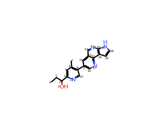 CCC(O)c1cc(C)c(-c2cnc3c(cnc4[nH]ccc43)c2)cn1